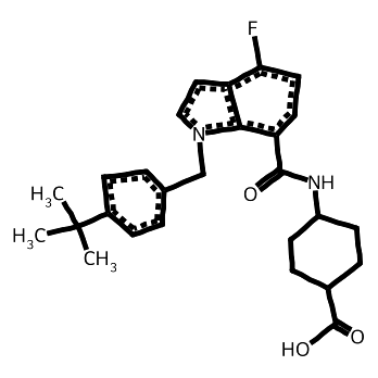 CC(C)(C)c1ccc(Cn2ccc3c(F)ccc(C(=O)NC4CCC(C(=O)O)CC4)c32)cc1